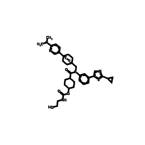 CN(C)c1ccc(C23CCC(CN(C(=O)C4CCC(OC(=O)NCCO)CC4)c4cccc(-c5cnc(C6CC6)s5)c4)(CC2)CC3)cn1